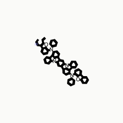 C=Cc1oc2c(N(c3ccccc3)c3ccc4c5cc6c(cc5n5c7ccccc7c3c45)c3ccc(N(c4ccccc4)c4cccc5c4oc4ccccc45)c4c5ccccc5n6c34)cccc2c1/C=C\C